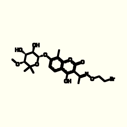 CO[C@@H]1[C@H](O)[C@@H](O)[C@H](Oc2ccc3c(O)c(C(C)=NOCCBr)c(=O)oc3c2C)OC1(C)C